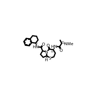 CN[C@@H](C)C(=O)N[C@H]1CCS[C@H]2CCC(C(=O)N[C@@H]3CCCc4ccccc43)N2C1=O